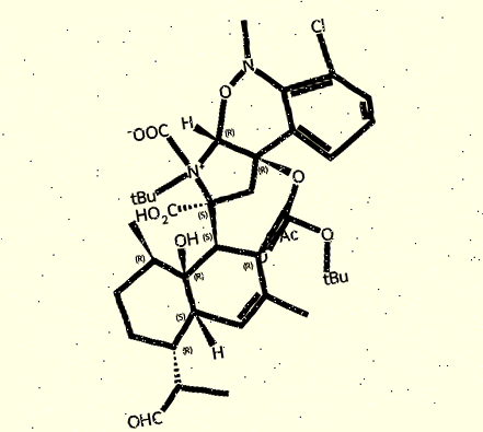 CC(=O)O[C@H]1C(C)=C[C@@H]2[C@H](C(C)C=O)CC[C@@H](C)[C@]2(O)[C@H]1[C@]1(C(=O)O)C[C@@]2(OC(=O)OC(C)(C)C)c3cccc(Cl)c3N(C)O[C@H]2[N+]1(C(=O)[O-])C(C)(C)C